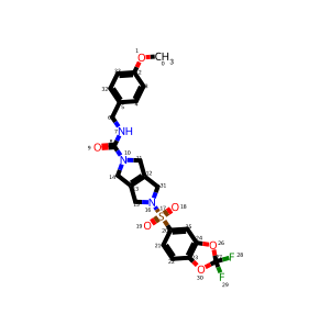 COc1ccc(CNC(=O)N2CC3=C(C2)CN(S(=O)(=O)c2ccc4c(c2)OC(F)(F)O4)C3)cc1